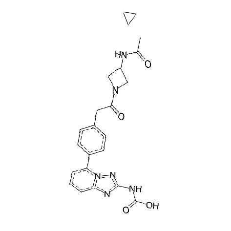 C1CC1.CC(=O)NC1CN(C(=O)Cc2ccc(-c3cccc4nc(NC(=O)O)nn34)cc2)C1